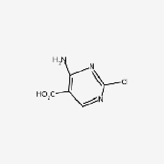 Nc1nc(Cl)ncc1C(=O)O